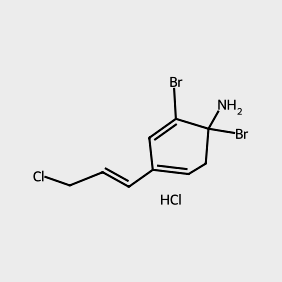 Cl.NC1(Br)CC=C(C=CCCl)C=C1Br